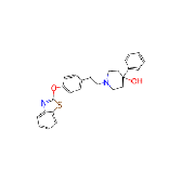 OC1(c2ccccc2)CCN(CCc2ccc(Oc3nc4ccccc4s3)cc2)CC1